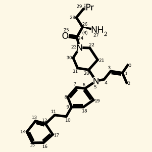 CC(C)=CCN(c1ccc(CCc2ccccc2)cc1)C1CCN(C(=O)[C@H](N)CC(C)C)CC1